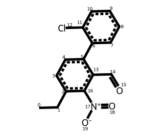 CCc1ccc(-c2ccccc2Cl)c(C=O)c1[N+](=O)[O-]